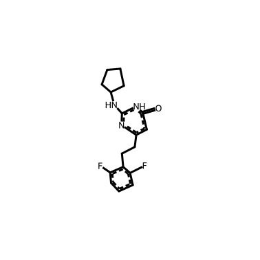 O=c1cc(CCc2c(F)cccc2F)nc(NC2CCCC2)[nH]1